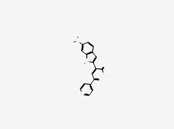 CN(C)c1ccc2cc(-c3cc(-c4ccncc4)n[nH]c3=O)n(C)c2c1